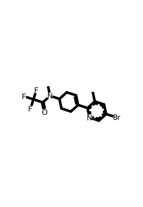 Cc1cc(Br)cnc1C1=CCC(N(C)C(=O)C(F)(F)F)CC1